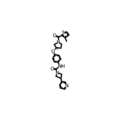 Cc1ccsc1C(=O)N1CC[C@@H](Oc2ccc(NC(=O)N3CC(c4cccnc4)C3)cc2)C1